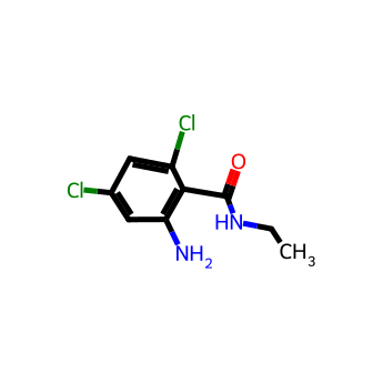 CCNC(=O)c1c(N)cc(Cl)cc1Cl